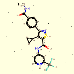 CNC(=O)c1ccc(-c2nsc(C(=O)Nc3ccnc(C(F)(F)F)c3)c2C2CC2)cc1